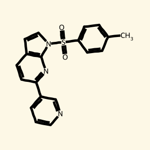 Cc1ccc(S(=O)(=O)n2ccc3ccc(-c4cccnc4)nc32)cc1